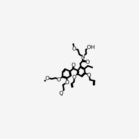 C=CCOc1cc(OCC=C)c(C(=O)c2ccc(OCCOC)c(OCCOC)c2)c(CC(=O)N(CCO)CCOC)c1CC